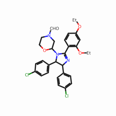 CCOc1ccc(C2=NC(c3ccc(Cl)cc3)C(c3ccc(Cl)cc3)N2C2CN(C=O)CCO2)c(OCC)c1